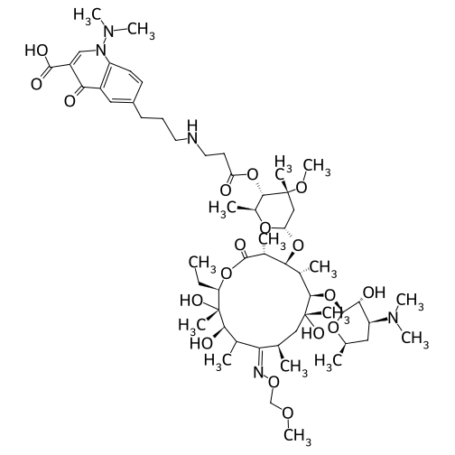 CC[C@H]1OC(=O)[C@H](C)[C@@H](O[C@H]2C[C@@](C)(OC)[C@@H](OC(=O)CCNCCCc3ccc4c(c3)c(=O)c(C(=O)O)cn4N(C)C)[C@H](C)O2)[C@H](C)[C@@H](O[C@@H]2O[C@H](C)C[C@H](N(C)C)[C@H]2O)[C@](C)(O)C[C@@H](C)/C(=N\OCOC)C(C)[C@@H](O)[C@]1(C)O